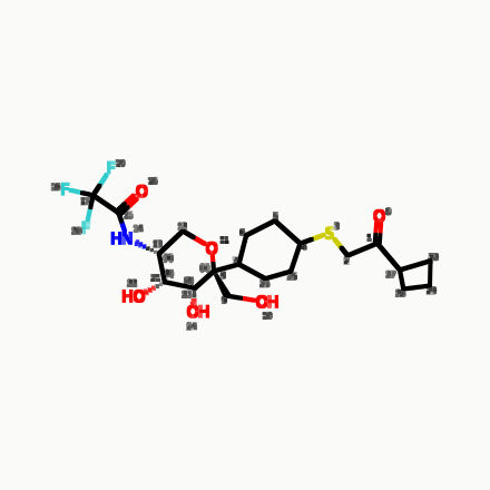 O=C(CSC1CCC([C@@]2(CO)OC[C@@H](NC(=O)C(F)(F)F)[C@@H](O)[C@H]2O)CC1)C1CCC1